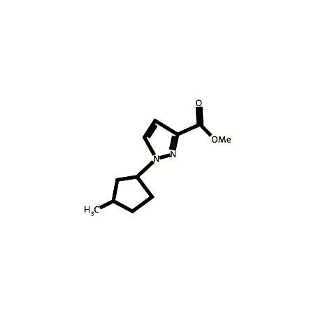 COC(=O)c1ccn(C2CCC(C)C2)n1